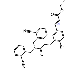 CCOC(=O)/C=C/c1ccc(Br)c(CCC(=O)N(Cc2ccccc2C#N)Cc2ccccc2C#N)c1